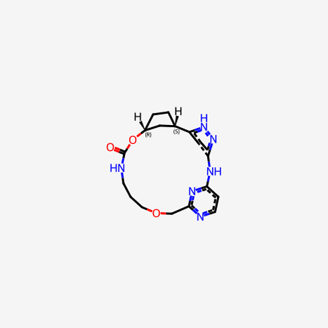 O=C1NCCCOCc2nccc(n2)Nc2cc([nH]n2)[C@H]2CC[C@H](C2)O1